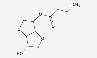 CCCC(=O)OC1COC2C(O)COC12